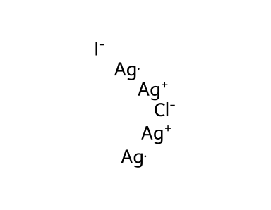 [Ag+].[Ag+].[Ag].[Ag].[Cl-].[I-]